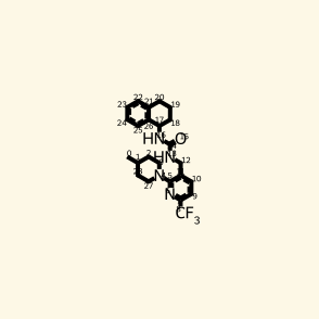 CC1CCN(c2nc(C(F)(F)F)ccc2CNC(=O)NC2CCCc3ccccc32)CC1